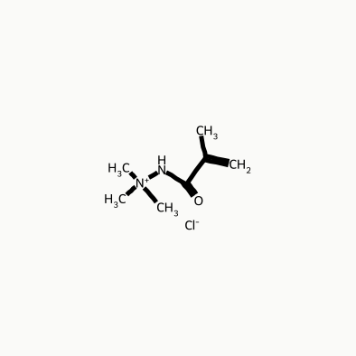 C=C(C)C(=O)N[N+](C)(C)C.[Cl-]